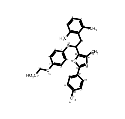 Cc1cccc(C)c1CC(Sc1ccc(OCC(=O)O)cc1)c1sc(-c2ccc(C(F)(F)F)cc2)nc1C